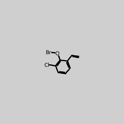 C=Cc1cccc(Cl)c1OBr